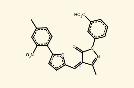 CC1=NN(c2cccc(C(=O)O)c2)C(=O)/C1=C\c1ccc(-c2ccc(C)cc2[N+](=O)[O-])o1